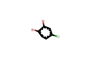 Clc1c[c]c(Br)c(Br)c1